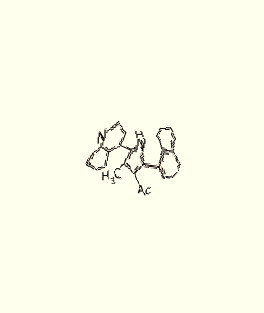 CC(=O)c1c(-c2cccc3ccccc23)[nH]c(-c2ccnc3ccccc23)c1C